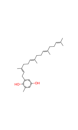 CC(C)=CCC/C(C)=C/CC/C(C)=C/CC/C(C)=C/Cc1cc(O)cc(C)c1O